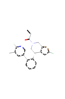 C=CC(=O)N1Cc2sc(Cl)cc2[C@@H](c2ccccc2-c2cnc(F)c(C)c2)C1